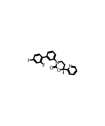 C[C@]1(c2ccccn2)CCN(c2cccc(-c3ccc(F)cc3F)c2)C(=O)O1